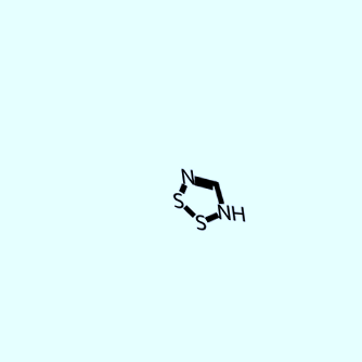 C1=NSSN1